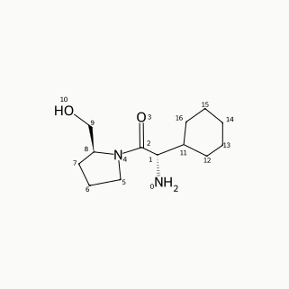 N[C@H](C(=O)N1CCC[C@H]1CO)C1CCCCC1